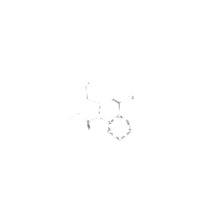 NC(=O)c1ccccc1N(CCO)C(=O)CS